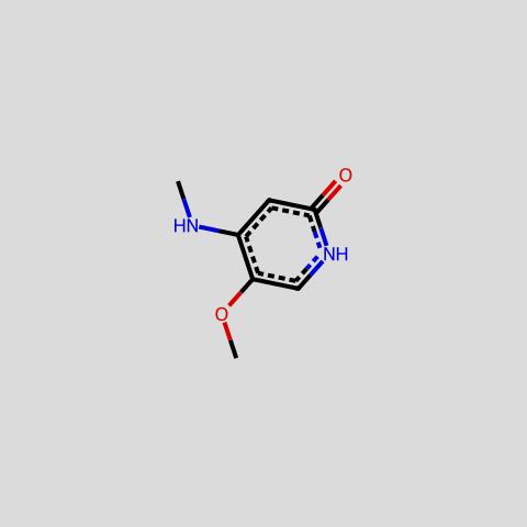 CNc1cc(=O)[nH]cc1OC